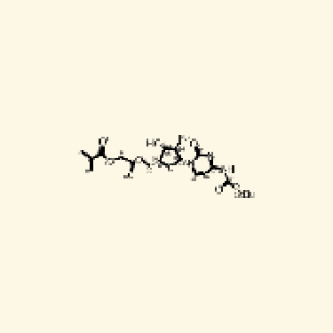 C=C(C)C(=O)OCC(=O)OC[C@H]1O[C@@H](n2ccc(NC(=O)OC(C)(C)C)nc2=O)[C@H](F)[C@@H]1O